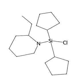 CCC1CCCCN1[Si](Cl)(C1CCCC1)C1CCCC1